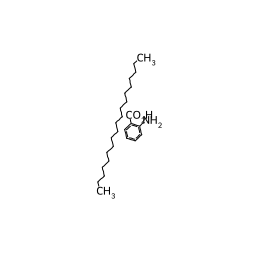 CCCCCCCCCCCCCCCCCCC.Nc1ccccc1C(=O)O